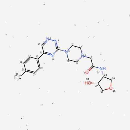 O=C(CN1CCN(c2nncc(-c3ccc(C(F)(F)F)cc3)n2)CC1)N[C@@H]1COC[C@@H]1O